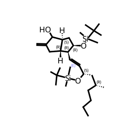 C=C1C[C@H]2[C@H](/C=C/[C@H](C[C@H](C)CCCC)O[Si](C)(C)C(C)(C)C)[C@H](O[Si](C)(C)C(C)(C)C)C[C@@H]2C1O